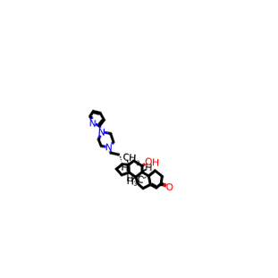 C[C@]12CC(O)[C@H]3[C@@H](CCC4=CC(=O)CC[C@@]43C)[C@@H]1CC[C@@H]2CCN1CCN(c2ccccn2)CC1